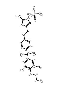 Cc1oc(COc2ccc(C(C)(C)c3cc(Cl)c(OCCCl)c(Cl)c3)cc2)nc1NS(C)(=O)=O